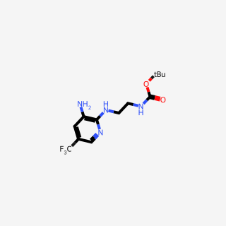 CC(C)(C)OC(=O)NCCNc1ncc(C(F)(F)F)cc1N